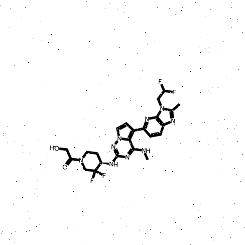 CNc1nc(N[C@@H]2CCN(C(=O)CO)CC2(F)F)nn2ccc(-c3ccc4nc(C)n(CC(F)F)c4n3)c12